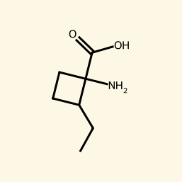 CCC1CCC1(N)C(=O)O